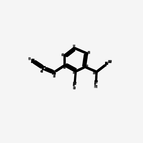 Fc1c(N=C=S)cccc1C(F)F